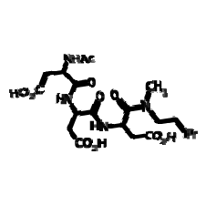 CC(=O)NC(CC(=O)O)C(=O)NC(CC(=O)O)C(=O)NC(CC(=O)O)C(=O)N(C)CCC(C)C